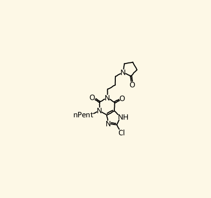 CCCCCn1c(=O)n(CCCN2CCCC2=O)c(=O)c2[nH]c(Cl)nc21